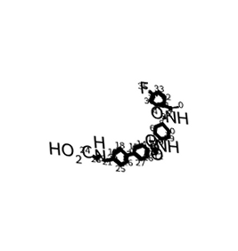 C[C@@H](NC(=O)[C@H]1CC[C@H](NS(=O)(=O)c2ccc(-c3ccc(CNCC(=O)O)cc3)cc2)CC1)c1ccc(F)cc1